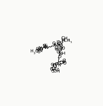 CC[C@@]1(O)C(=O)OCc2c1cc1n(c2=O)Cc2c-1nc1cc3c(cc1c2CCCOCNC(=O)CNC(=O)C(CCCCN(C)C)NC(=O)C(NC(=O)CCCCCn1cc(-c2cnc(S(C)(=O)=O)nc2)nn1)C(C)C)OCO3